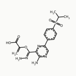 C=C(O/C(=N\N)c1nc(-c2ccc(S(=O)(=O)C(C)C)cc2)cnc1N)C(=O)O